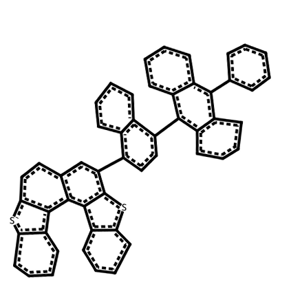 c1ccc(-c2c3ccccc3c(-c3ccc(-c4cc5ccc6sc7ccccc7c6c5c5c4sc4ccccc45)c4ccccc34)c3ccccc23)cc1